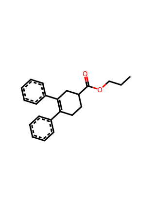 CCCOC(=O)C1CCC(c2ccccc2)=C(c2ccccc2)C1